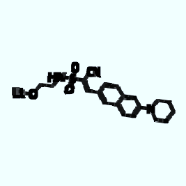 CCOCCNS(=O)(=O)/C(C#N)=C/c1ccc2cc(N3CCCCC3)ccc2c1